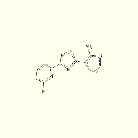 CCc1cccc(-c2csc(-c3cccnc3N)n2)c1